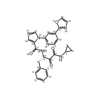 O=C(NC1CC1)C(=O)[C@H](Cc1ccccc1)NC(=O)c1cncn1-c1cc(-c2ncco2)ccn1